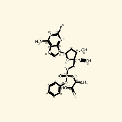 C#C[C@]1(COP(=O)(NC(C)C(=O)O)Oc2ccccc2)O[C@@H](n2cnc3c(N)nc(F)nc32)C[C@@H]1O